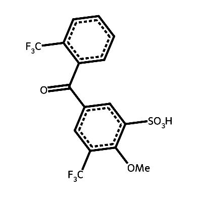 COc1c(C(F)(F)F)cc(C(=O)c2ccccc2C(F)(F)F)cc1S(=O)(=O)O